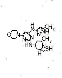 Cc1cc(Nc2cc(N3CCOCC3)nc(N[C@H]3C[C@@H]4CBN4[C@H](C)C3)n2)n[nH]1